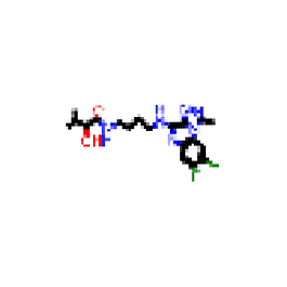 Cc1nnc2c(NCCCCNC(=O)C(O)C(C)C)nc3cc(F)c(F)cc3n12